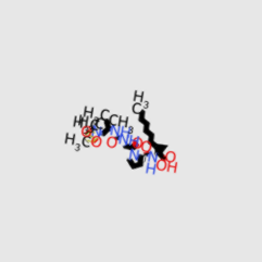 CCCCCCCC1C[C@]1(NC(=O)[C@@H]1CCCN1C(=O)CNC(=O)NC(CN(C)S(C)(=O)=O)C(C)(C)C)C(=O)O